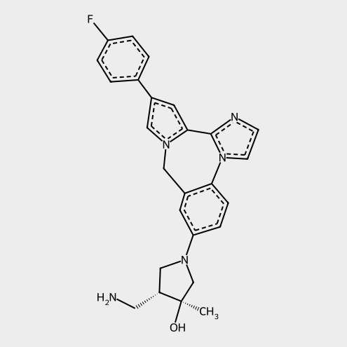 C[C@@]1(O)CN(c2ccc3c(c2)Cn2cc(-c4ccc(F)cc4)cc2-c2nccn2-3)C[C@H]1CN